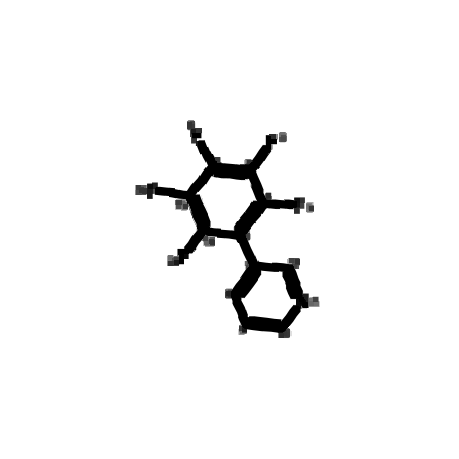 Fc1c(F)c(F)c(-c2cccnc2)c(F)c1F